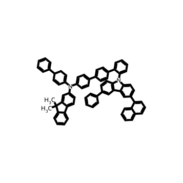 CC1(C)c2ccccc2-c2ccc(N(C3=CCC(c4ccccc4)C=C3)c3ccc(-c4ccc(-c5ccccc5-n5c6ccc(-c7ccccc7)cc6c6cc(-c7cccc8ccccc78)ccc65)cc4)cc3)cc21